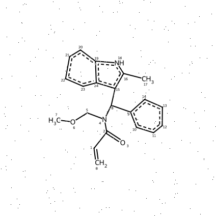 C=CC(=O)N(COC)C(c1ccccc1)c1c(C)[nH]c2ccccc12